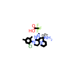 CCCC(N)(c1ccccn1)c1c2c(nn1C)N(c1c(C)cc(C)cc1Cl)CCC2.O=C(O)C(F)(F)F